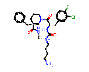 CCNC(=O)[C@]1(Cc2ccccc2)CCCN(C(=O)[C@@H](Cc2ccc(Cl)c(Cl)c2)NC(=O)NCCCCN)C1